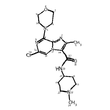 Cc1nc2c(N3CCOCC3)nc(Cl)cn2c1C(=O)NC1CCN(C)CC1